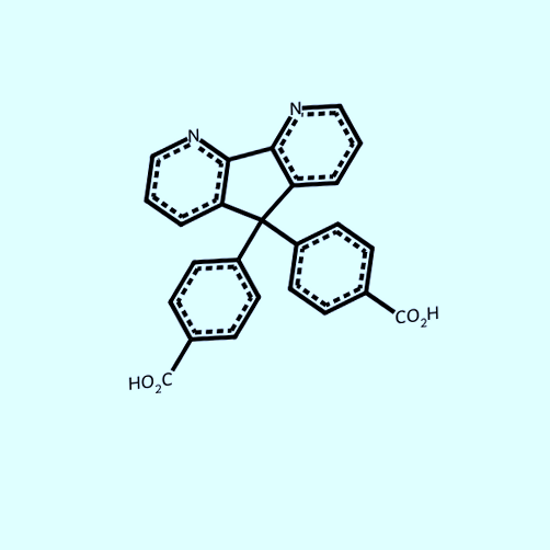 O=C(O)c1ccc(C2(c3ccc(C(=O)O)cc3)c3cccnc3-c3ncccc32)cc1